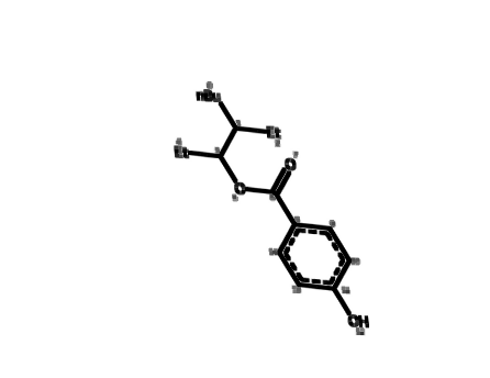 CCCCC(CC)C(CC)OC(=O)c1ccc(O)cc1